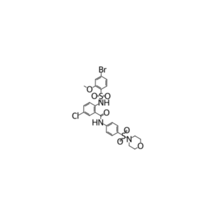 COc1cc(Br)ccc1S(=O)(=O)Nc1ccc(Cl)cc1C(=O)Nc1ccc(S(=O)(=O)N2CCOCC2)cc1